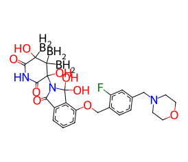 BC1(O)C(=O)NC(=O)C(O)(N2C(=O)c3cccc(OCc4ccc(CN5CCOCC5)cc4F)c3C2(O)O)C1(B)B